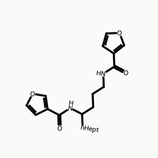 CCCCCCCC(CCCNC(=O)c1ccoc1)NC(=O)c1ccoc1